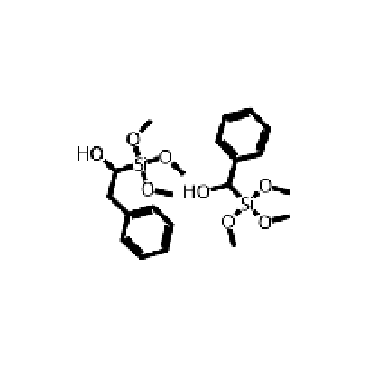 CO[Si](OC)(OC)C(O)Cc1ccccc1.CO[Si](OC)(OC)C(O)c1ccccc1